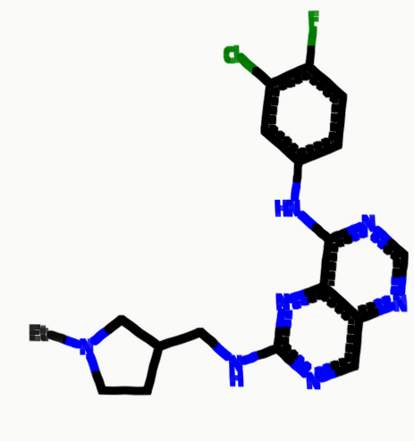 CCN1CCC(CNc2ncc3ncnc(Nc4ccc(F)c(Cl)c4)c3n2)C1